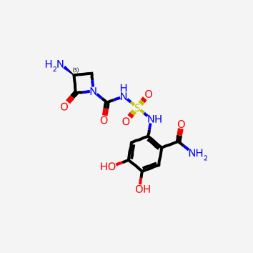 NC(=O)c1cc(O)c(O)cc1NS(=O)(=O)NC(=O)N1C[C@H](N)C1=O